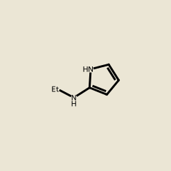 CCNc1ccc[nH]1